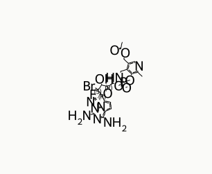 CC(=O)OCc1cnc(C)c2c1CNP(=O)(OC[C@H]1O[C@@](C#N)(c3ccc4c(N)nc(N)nn34)[C@@](F)(Br)C1O)O2